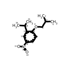 CC(C)COc1ccc([N+](=O)[O-])cc1C(C)C